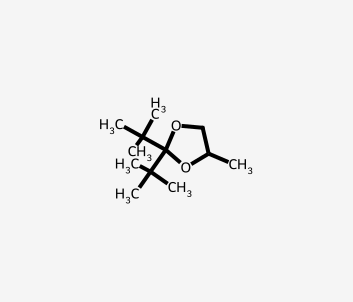 CC1COC(C(C)(C)C)(C(C)(C)C)O1